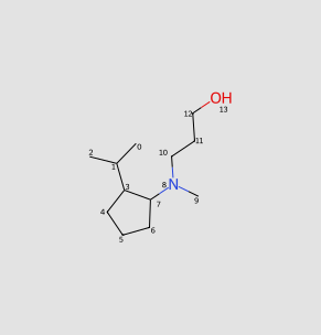 CC(C)C1CCCC1N(C)CCCO